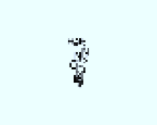 CC1Oc2cc(-n3ccnn3)ccc2-c2sc(N(C)C3CC(C)(C)NC(C)(C)C3)nc21